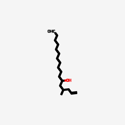 C=CCC(C)CC(O)CCCCCCCCCCC=O